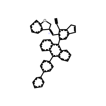 C#Cc1c(/C=C2\COc3ccccc32)c(-c2c3ccccc3c(-c3ccc(-c4ccccc4)cc3)c3ccccc23)cc2c1CC=C2